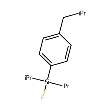 CC(C)Cc1ccc([Si](F)(C(C)C)C(C)C)cc1